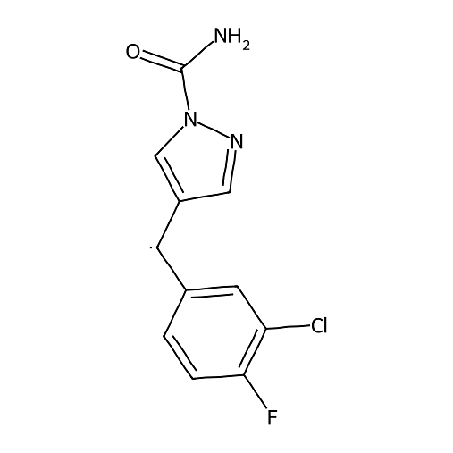 NC(=O)n1cc([CH]c2ccc(F)c(Cl)c2)cn1